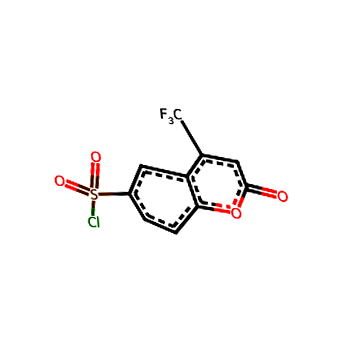 O=c1cc(C(F)(F)F)c2cc(S(=O)(=O)Cl)ccc2o1